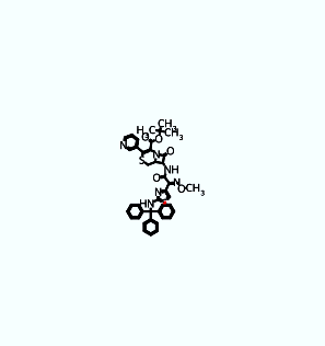 CON=C(C(=O)NC1C(=O)N2C(C(=O)OC(C)(C)C)=C(c3cccnc3)SCC12)c1csc(NC(c2ccccc2)(c2ccccc2)c2ccccc2)n1